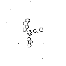 c1ccc2c(c1)ccc1c3cccc(-c4nc(-c5ccc6c(c5)oc5ccccc56)nc(-c5ccc6c(c5)sc5ccccc56)n4)c3ccc21